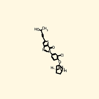 CC(O)C#Cc1cc2ncn(-c3ccc(O[C@H]4C[C@H]5CC[C@@H](C4)N5C)c(Cl)c3)c(=O)c2s1